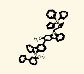 CC1Cc2c(c3ccccc3n2CC2C3=C[C@]32[Si](C2=C=CC=C2)(c2ccccc2)c2ccccc2)C=C1c1ccc2c(c1)c1ccccc1n2C1(C)C=C(c2ccccc2)C=CC1